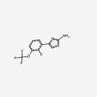 Nc1nc(-c2cccc(OC(F)(F)F)c2F)cs1